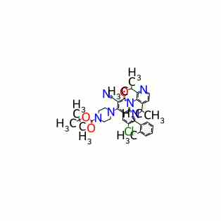 Cc1ccccc1-c1nc2c(cc1Cl)c(N1CCN(C(=O)OC(C)(C)C)CC1)c(C#N)c(=O)n2-c1c(C(C)C)ccnc1C(C)C